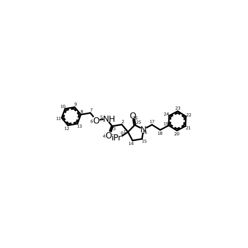 CC(C)C1(CC(=O)NOCc2ccccc2)CCN(CCc2ccccc2)C1=O